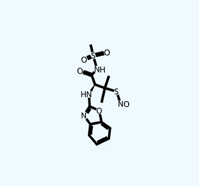 CC(C)(SN=O)[C@@H](Nc1nc2ccccc2o1)C(=O)NS(C)(=O)=O